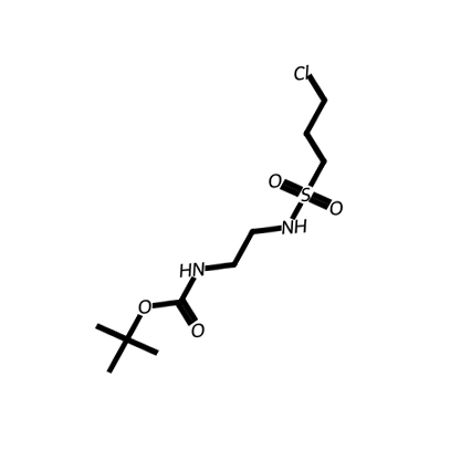 CC(C)(C)OC(=O)NCCNS(=O)(=O)CCCCl